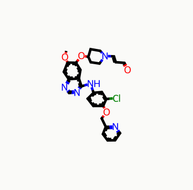 COc1cc2ncnc(Nc3ccc(OCc4ccccn4)c(Cl)c3)c2cc1OC1CCN(C=CC=O)CC1